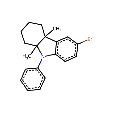 CC12CCCCC1(C)N(c1ccccc1)c1ccc(Br)cc12